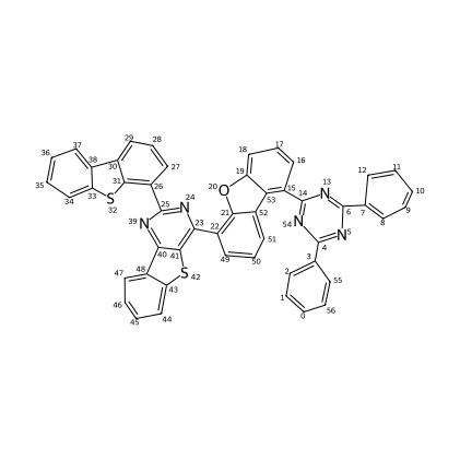 c1ccc(-c2nc(-c3ccccc3)nc(-c3cccc4oc5c(-c6nc(-c7cccc8c7sc7ccccc78)nc7c6sc6ccccc67)cccc5c34)n2)cc1